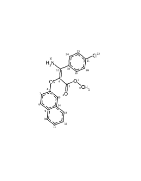 COC(=O)C(Oc1ccc2ccccc2c1)=C(N)c1ccc(Cl)cc1